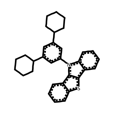 c1ccc2c(c1)sc1c3ccccc3n(-c3cc(C4CCCCC4)cc(C4CCCCC4)c3)c21